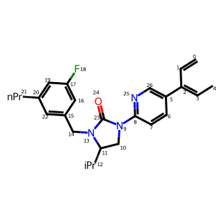 C=C/C(=C\C)c1ccc(N2CC(C(C)C)N(Cc3cc(F)cc(CCC)c3)C2=O)nc1